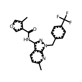 Cc1ccc2c(NC(=O)c3cocc3C)nn(Cc3ccc(C(F)(F)F)cc3)c2n1